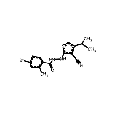 Cc1cc(Br)ccc1C(=O)NNc1scc(C(C)C)c1C#N